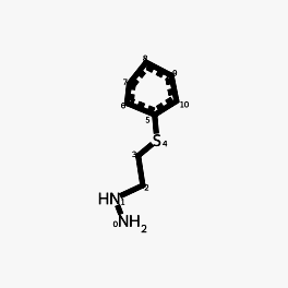 NNCCSc1ccccc1